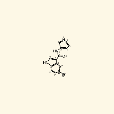 O=C(Nc1cccnc1)c1c[nH]c2ccc(Br)cc12